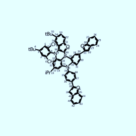 Cc1cc(C(C)(C)C)cc(C)c1N1c2cc(C(C)C)cc3c2B(c2cc(-c4cc5ccccc5o4)ccc2N3c2ccc(-c3cc4ccccc4o3)cc2)c2oc3ccc(C(C)(C)C)cc3c21